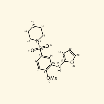 COc1ccc(S(=O)(=O)N2CCSCC2)cc1Nc1ncco1